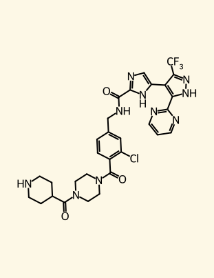 O=C(NCc1ccc(C(=O)N2CCN(C(=O)C3CCNCC3)CC2)c(Cl)c1)c1ncc(-c2c(C(F)(F)F)n[nH]c2-c2ncccn2)[nH]1